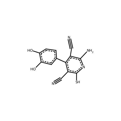 N#Cc1c(N)nc(S)c(C#N)c1-c1ccc(O)c(O)c1